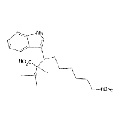 CCCCCCCCCCCCCCCCC(c1c[nH]c2ccccc12)C(C)(C(=O)O)N(C)C